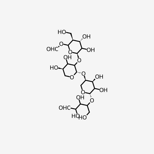 O=COC1O[C@H](OC2C(O)[C@H](O)CO[C@H]2O[C@@H]2CO[C@@H](OC(CO)C(O)C(O)C=O)C(O)[C@@H]2O)C(O)[C@@H](O)[C@@H]1CO